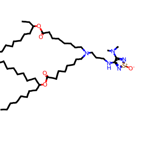 CCCCCCCCC(CC)OC(=O)CCCCCCCN(CCCCCCCC(=O)OC(CCCCCCCC)CCCCCCCC)CCCNc1n[s+]([O-])nc1N(C)C